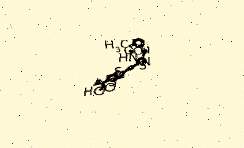 CC(OC(=O)Nc1c(C#N)nsc1C#Cc1cc2sc(C3(C(=O)O)CC3)cc2s1)c1ccccc1